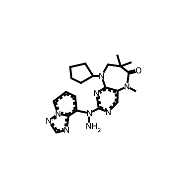 CN1C(=O)C(C)(C)CN(C2CCCC2)c2nc(N(N)c3cccn4ncnc34)ncc21